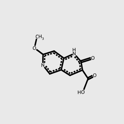 COc1cc2[nH]c(=O)c(C(=O)O)cc2cn1